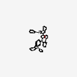 c1ccc(-c2nc3c(o2)c(-c2ccc(N(c4ccc5c6ccccc6n(-c6ccccc6)c5c4)c4ccccc4-c4ccccc4)cc2)cc2ccccc23)cc1